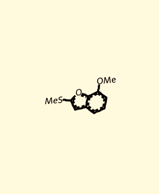 COc1cccc2cc(SC)oc12